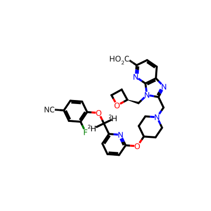 [2H]C([2H])(Oc1ccc(C#N)cc1F)c1cccc(OC2CCN(Cc3nc4ccc(C(=O)O)nc4n3C[C@@H]3CCO3)CC2)n1